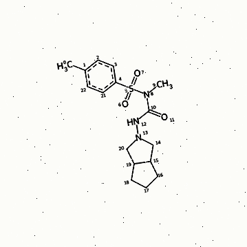 Cc1ccc(S(=O)(=O)N(C)C(=O)NN2CC3CCCC3C2)cc1